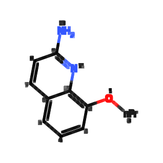 CCCOc1cccc2ccc(N)nc12